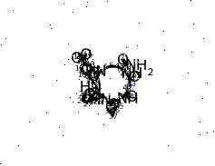 NC(=O)[C@@H]1CCCNC(=O)[C@H](Cc2ccc([N+](=O)[O-])cc2)NC(=O)[C@H](Cc2ccco2)NC(=O)[C@H](CC2CC2)NC(=O)/C=C/C(=O)N1